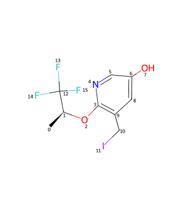 C[C@H](Oc1ncc(O)cc1CI)C(F)(F)F